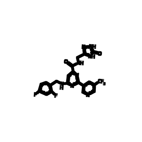 O=C(NCc1n[nH]c(=O)[nH]1)c1cc(NCc2ccc(F)cc2F)nc(-c2cncc(C(F)(F)F)c2)n1